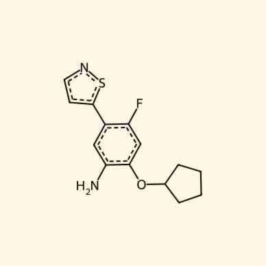 Nc1cc(-c2ccns2)c(F)cc1OC1CCCC1